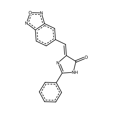 O=C1NC(c2ccccc2)=N/C1=C\c1ccc2nonc2c1